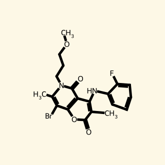 COCCCn1c(C)c(Br)c2oc(=O)c(C)c(Nc3ccccc3F)c2c1=O